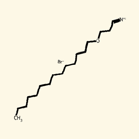 CCCCCCCCCCCCCCOCCC=[N+].[Br-]